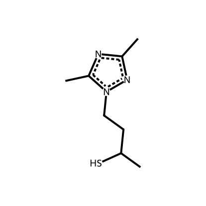 Cc1nc(C)n(CCC(C)S)n1